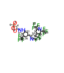 CS(=O)(=O)CC(=O)NCc1ccc(C2CC(c3cc(C(F)(F)F)nc(C(F)(F)F)c3)(C(F)(F)F)C=N2)cc1C(F)(F)F